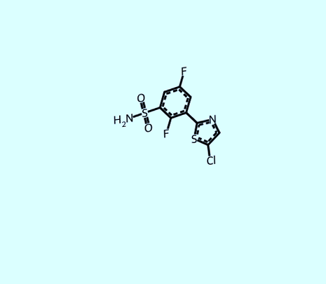 NS(=O)(=O)c1cc(F)cc(-c2ncc(Cl)s2)c1F